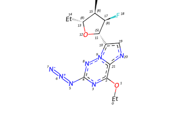 CCOc1nc(N=[N+]=[N-])nn2c([C@@H]3O[C@H](CC)[C@@H](C)[C@H]3F)cnc12